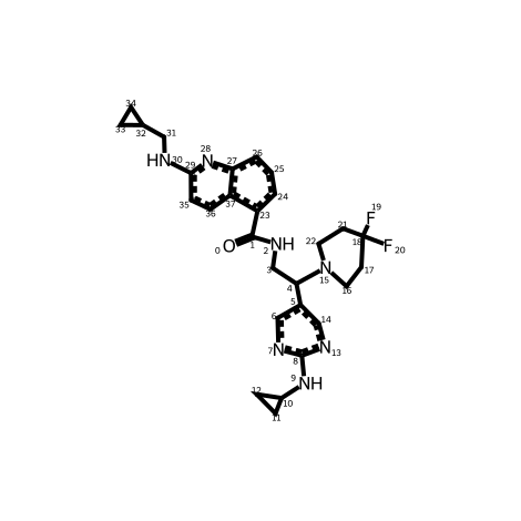 O=C(NCC(c1cnc(NC2CC2)nc1)N1CCC(F)(F)CC1)c1cccc2nc(NCC3CC3)ccc12